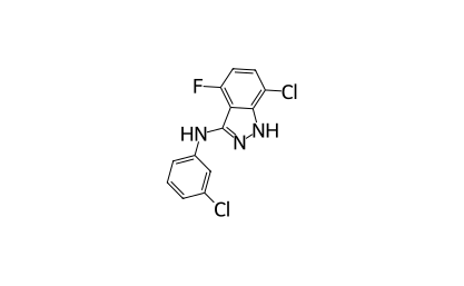 Fc1ccc(Cl)c2[nH]nc(Nc3cccc(Cl)c3)c12